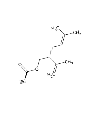 C=C(C)[C@@H](CC=C(C)C)COC(=O)[C@H](C)CC